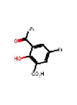 CCCC(=O)c1cc(CC)cc(C(=O)O)c1O